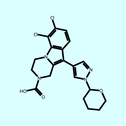 O=C(O)N1CCn2c(c(-c3cnn(C4CCCCO4)c3)c3ccc(Cl)c(Cl)c32)C1